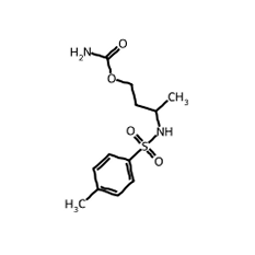 Cc1ccc(S(=O)(=O)NC(C)CCOC(N)=O)cc1